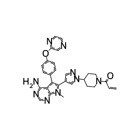 C=CC(=O)N1CCC(n2cc(-c3c(-c4ccc(Oc5cnccn5)cc4)c4c(N)ncnc4n3C)cn2)CC1